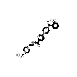 O=C(NCCN1CCN(C(=O)O)CC1)c1ccc(N2CCN(C(=O)c3ccccc3C(F)(F)F)CC2)cn1